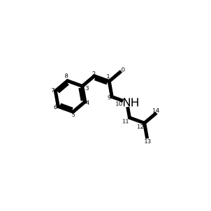 CC(=Cc1ccccc1)CNCC(C)C